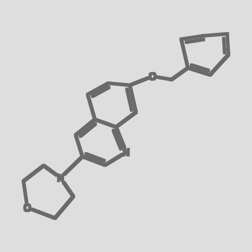 c1ccc(COc2ccc3cc(N4CCOCC4)cnc3c2)cc1